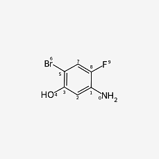 Nc1cc(O)c(Br)cc1F